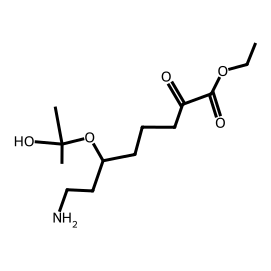 CCOC(=O)C(=O)CCCC(CCN)OC(C)(C)O